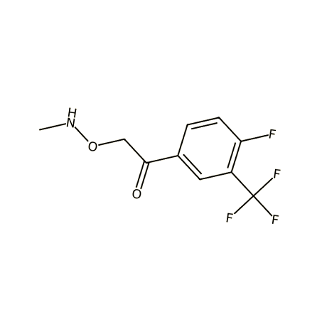 CNOCC(=O)c1ccc(F)c(C(F)(F)F)c1